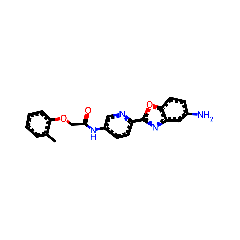 Cc1ccccc1OCC(=O)Nc1ccc(-c2nc3cc(N)ccc3o2)nc1